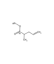 C=CCC(C)[PH](=O)OCCC